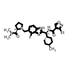 CCc1nocc1C(=O)N[C@H](c1nc2c(F)c(CN3CCC[C@@H]3C(=O)N(C)C)ccc2[nH]1)[C@H]1CC[C@H](C)CC1